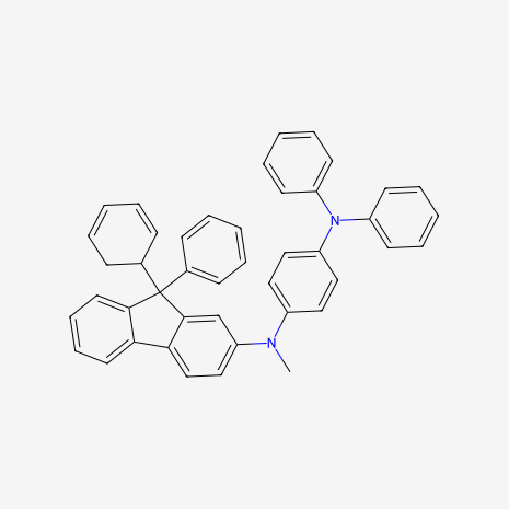 CN(c1ccc(N(c2ccccc2)c2ccccc2)cc1)c1ccc2c(c1)C(c1ccccc1)(C1C=CC=CC1)c1ccccc1-2